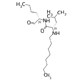 CCCCCCCCN[C@@H](CC(C)C)C(=O)N[C@H](C=O)CCCC